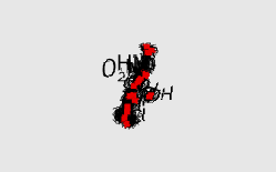 O=C(NS(=O)(=O)c1ccc(NCCSc2ccccc2)c([N+](=O)[O-])c1)c1ccc2c(c1)CC[C@H]1CN(Cc3ccccc3-c3cccc(Cl)c3)CCN21.O=C(O)C(F)(F)F